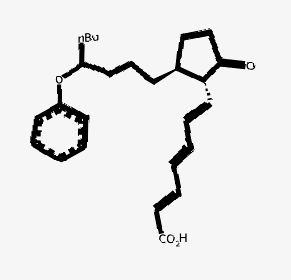 CCCCC(CCC[C@H]1CCC(=O)[C@@H]1C=CC=CC=CC(=O)O)Oc1ccccc1